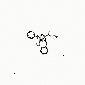 CC(C)C(C)c1cn(-c2ccccc2)c(=O)n1Cc1ccccc1